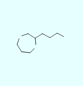 ICCCC1CNCCCN1